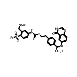 CNCc1cc(NC(=O)OCCc2ccc(C(Nc3ccc4nc[nH]c(=O)c4c3)C(=O)O)cc2)ccc1S(=O)(=O)C(C)C